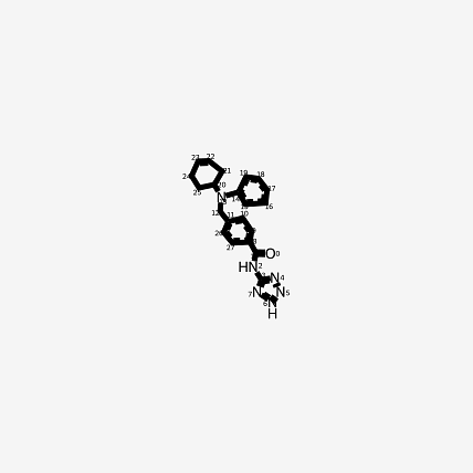 O=C(Nc1nn[nH]n1)c1ccc(CN(c2ccccc2)C2CC=CCC2)cc1